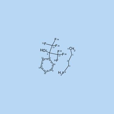 CCCCP.OC(c1ccccc1)(C(F)(F)F)C(F)(F)F